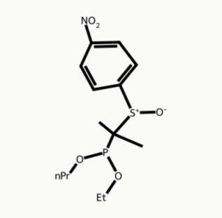 CCCOP(OCC)C(C)(C)[S+]([O-])c1ccc([N+](=O)[O-])cc1